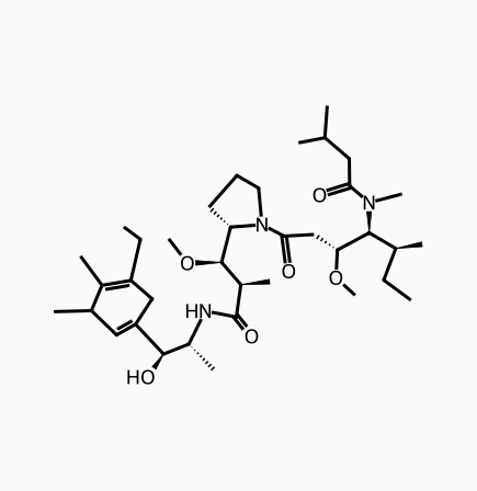 CCC1=C(C)C(C)C=C([C@H](O)[C@@H](C)NC(=O)[C@H](C)[C@@H](OC)[C@@H]2CCCN2C(=O)C[C@@H](OC)[C@H]([C@@H](C)CC)N(C)C(=O)CC(C)C)C1